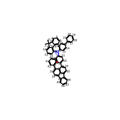 CC1(C)c2ccccc2-c2c(N(c3ccc(-c4ccccc4)cc3)c3ccc(-c4ccc5c6c(ccc(-c7ccccc7)c46)-c4ccccc4-5)cc3)cccc21